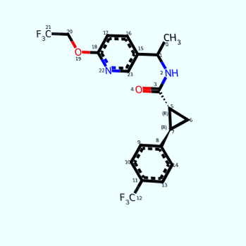 CC(NC(=O)[C@@H]1C[C@H]1c1ccc(C(F)(F)F)cc1)c1ccc(OCC(F)(F)F)nc1